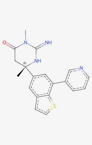 CN1C(=N)N[C@](C)(c2cc(-c3cccnc3)c3sccc3c2)CC1=O